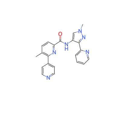 Cc1ccc(C(=O)Nc2cn(C)nc2-c2ccccn2)nc1-c1ccncc1